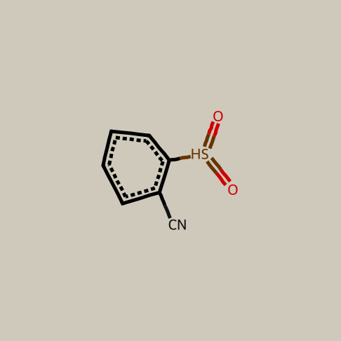 N#Cc1ccccc1[SH](=O)=O